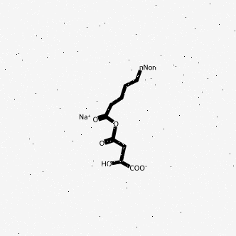 CCCCCCCCCCCCCC(=O)OC(=O)CC(O)C(=O)[O-].[Na+]